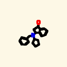 O=C1CC(N(Cc2ccccc2)C2CCCC2)c2ccccc21